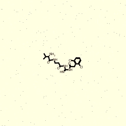 CC(C)[C@@H](N)C(=O)NCCC(=O)NC(=N)NC(=O)Cc1c(Cl)cccc1Cl